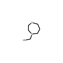 SCN1CCCOCC1